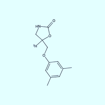 [2H]C1(COc2cc(C)cc(C)c2)CNC(=O)O1